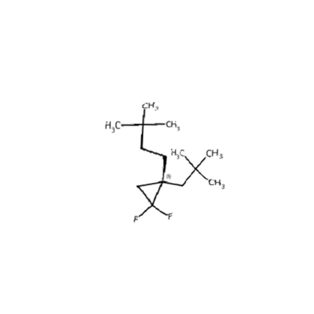 CC(C)(C)CC[C@]1(CC(C)(C)C)CC1(F)F